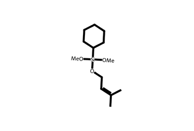 CO[Si](OC)(OCC=C(C)C)C1CCCCC1